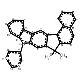 CC1(C)c2cc3c(cc2-c2c1ccc1ccccc21)c1ccccc1n3-c1cncnc1